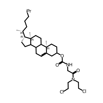 CC(C)CCC[C@@H](C)[C@H]1CCC2C3CC=C4CC(OC(=O)NCC(=O)N(CCCl)CCCl)CC[C@]4(C)C3CC[C@@]21C